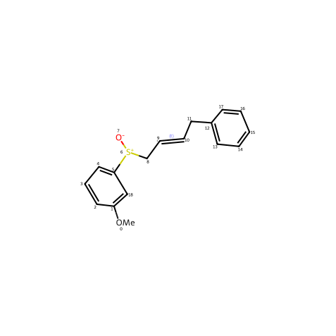 COc1cccc([S+]([O-])C/[C]=C/Cc2ccccc2)c1